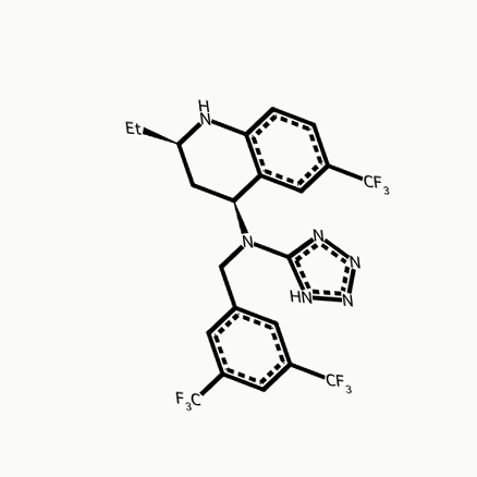 CC[C@@H]1C[C@H](N(Cc2cc(C(F)(F)F)cc(C(F)(F)F)c2)c2nnn[nH]2)c2cc(C(F)(F)F)ccc2N1